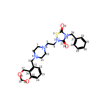 O=c1sn(CCN2CCN(Cc3cccc4c3COCO4)CC2)c(=O)n1Cc1ccccc1